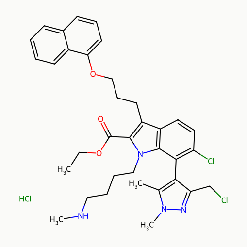 CCOC(=O)c1c(CCCOc2cccc3ccccc23)c2ccc(Cl)c(-c3c(CCl)nn(C)c3C)c2n1CCCCNC.Cl